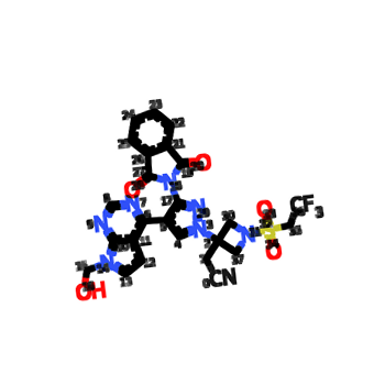 N#CCC1(n2cc(-c3ncnc4c3ccn4CO)c(N3C(=O)c4ccccc4C3=O)n2)CN(S(=O)(=O)CC(F)(F)F)C1